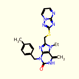 C=C1NC(=O)N(Cc2ccc(C)cc2)c2nc(CSc3nc4ncccn4n3)n(CC)c21